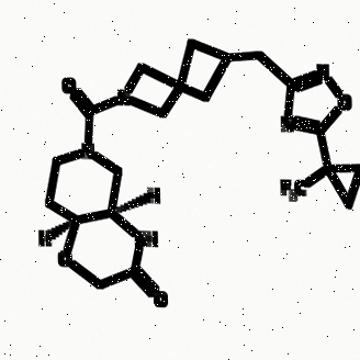 O=C1CO[C@H]2CCN(C(=O)N3CC4(CC(Cc5noc(C6(C(F)(F)F)CC6)n5)C4)C3)C[C@H]2N1